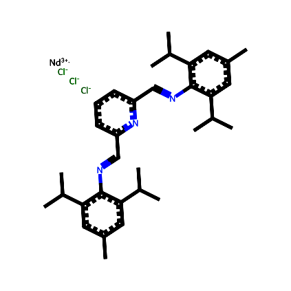 Cc1cc(C(C)C)c(N=Cc2cccc(C=Nc3c(C(C)C)cc(C)cc3C(C)C)n2)c(C(C)C)c1.[Cl-].[Cl-].[Cl-].[Nd+3]